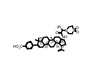 C=C(C)[C@@H]1CC[C@]2(NC(=O)C(C(C)C)N3CCS(=O)(=O)CC3)CC[C@]3(C)[C@H](CC[C@@H]4[C@@]5(C)CC=C(c6ccc(C(=O)O)cc6)C(C)(C)[C@@H]5CC[C@]43C)[C@@H]12